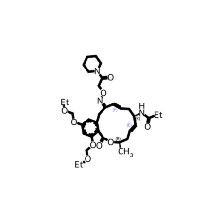 CCOCOc1cc2c(c(OCOCC)c1)C(=O)O[C@H](C)C/C=C/[C@H](NC(=O)CC)C/C=C/C(=NOCC(=O)N1CCCCC1)C2